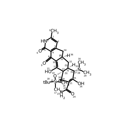 Cc1cc2c(c(=O)[nH]1)C(=O)C1=C(O)[C@]3(O[Si](C)(C)C(C)(C)C)C(=O)C(C(N)=O)=C(O)[C@@H](N(C)C)[C@@H]3C[C@@H]1C2